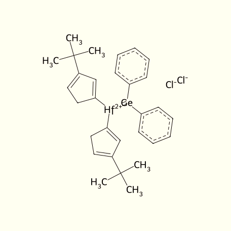 CC(C)(C)C1=CC[C]([Hf+2]([C]2=CC(C(C)(C)C)=CC2)=[Ge]([c]2ccccc2)[c]2ccccc2)=C1.[Cl-].[Cl-]